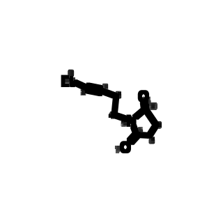 CCC#CCCN1C(=O)CCC1=O